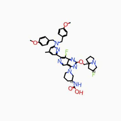 COc1ccc(CN(Cc2ccc(OC)cc2)c2cc(C)cc(-c3ncc4c(N5CCC[C@H](NC(=O)O)C5)nc(OC[C@@]56CCCN5C[C@H](F)C6)nc4c3F)n2)cc1